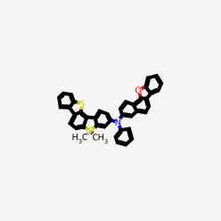 CS1(C)c2cc(N(c3ccccc3)c3ccc4c(ccc5c6ccccc6oc45)c3)ccc2-c2c1ccc1c2sc2ccccc21